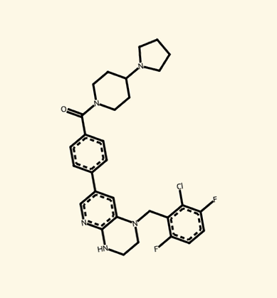 O=C(c1ccc(-c2cnc3c(c2)N(Cc2c(F)ccc(F)c2Cl)CCN3)cc1)N1CCC(N2CCCC2)CC1